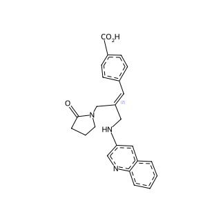 O=C(O)c1ccc(/C=C(/CNc2cnc3ccccc3c2)CN2CCCC2=O)cc1